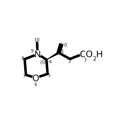 C=C(CC(=O)O)[C@H]1COCCN1C